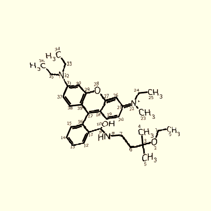 CCOC(C)(C)CCNC(O)c1ccccc1-c1c2cc/c(=[N+](\C)CC)cc-2oc2cc(N(CC)CC)ccc12